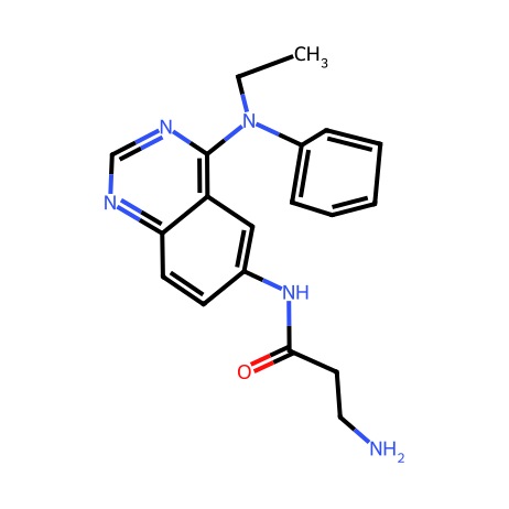 CCN(c1ccccc1)c1ncnc2ccc(NC(=O)CCN)cc12